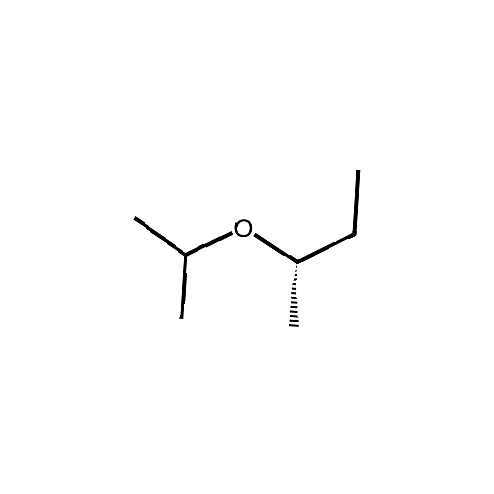 CC[C@H](C)OC(C)C